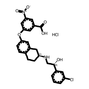 Cl.O=C(O)c1cc(Oc2ccc3c(c2)C[C@@H](NC[C@H](O)c2cccc(Cl)c2)CC3)cc([N+](=O)[O-])c1